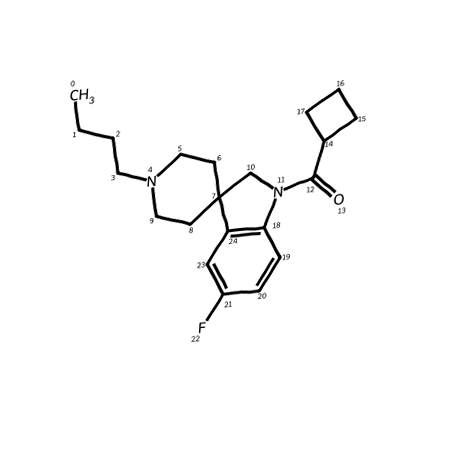 CCCCN1CCC2(CC1)CN(C(=O)C1CCC1)c1ccc(F)cc12